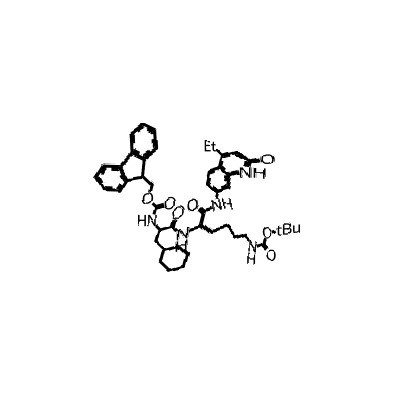 CCc1cc(=O)[nH]c2cc(NC(=O)C(CCCCNC(=O)OC(C)(C)C)NC(=O)C(CC3CCCCC3)NC(=O)OCC3c4ccccc4-c4ccccc43)ccc12